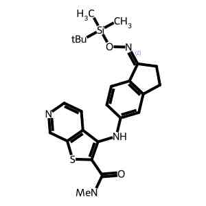 CNC(=O)c1sc2cnccc2c1Nc1ccc2c(c1)CC/C2=N/O[Si](C)(C)C(C)(C)C